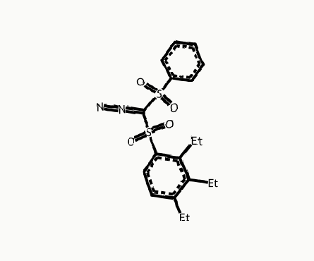 CCc1ccc(S(=O)(=O)C(=[N+]=[N-])S(=O)(=O)c2ccccc2)c(CC)c1CC